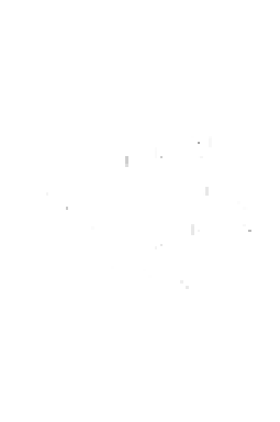 C[C@H]1CN(c2ccncc2NC(=O)c2nc3cc(N4CCN(C)CC4)ccc3cc2N)C[C@@H](N)[C@H]1N(C)C(=O)O